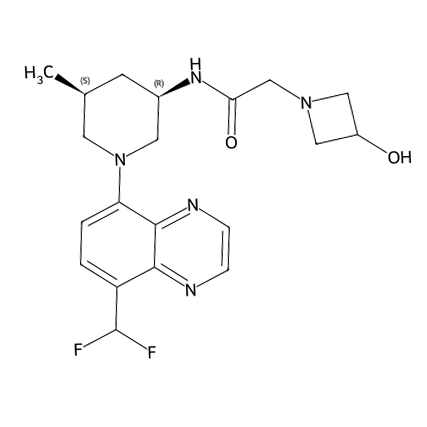 C[C@H]1C[C@@H](NC(=O)CN2CC(O)C2)CN(c2ccc(C(F)F)c3nccnc23)C1